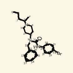 CCCC(C)N1CCC(N(Cc2ccccc2)C(=O)Nc2ccc(Br)cc2)CC1